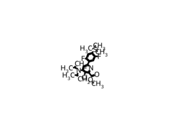 C=C(C)N(C(=C)C)c1cc(-c2cc(F)c([Si](C)(C)C)cc2F)nc(C(=O)OC)c1Cl